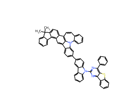 CC1(C)c2ccccc2-c2c1ccc1c3c4c(cc21)c1ccc(-c2ccc5c(c2)c2ccccc2n5-c2nc(-c5ccccc5)c5sc6ccccc6c5n2)cc1n4-c1ccccc1C=C3